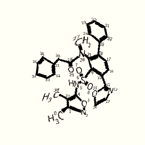 Cc1noc(NS(=O)(=O)c2c(-c3ncco3)ccc(-c3ccccc3)c2N(C)C(=O)Cc2ccccc2)c1C